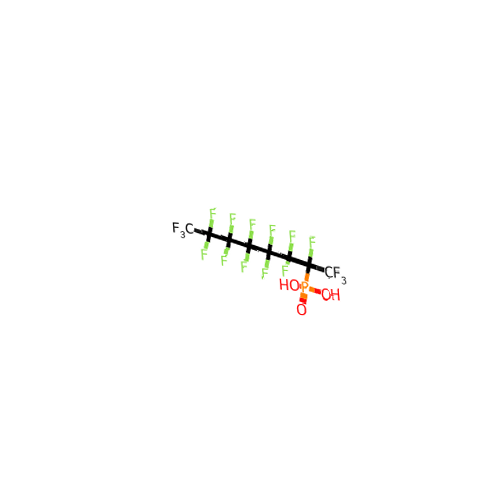 O=P(O)(O)C(F)(C(F)(F)F)C(F)(F)C(F)(F)C(F)(F)C(F)(F)C(F)(F)C(F)(F)F